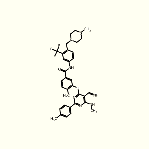 CNc1nc(-c2ccc(C)cc2)nc(Oc2cc(C(=O)Nc3ccc(CN4CCN(C)CC4)c(C(F)(F)F)c3)ccc2C)c1C=N